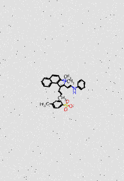 CCCC1=C(C=CNc2ccccc2)[N+](C)(C)c2ccc3ccccc3c21.Cc1ccc(S(=O)(=O)[O-])cc1